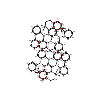 CC1(C)CCC2(C)CCC(C)(C)c3c4c5c(c1c32)B(c1ccccc1-c1ccccc1)c1cccc2c1N5c1c(cccc1C21c2cccc3c2N2c5c(cccc51)B(c1ccccc1-c1ccccc1)c1c2c(c2c5c1C(C)(C)CCC5(C)CCC2(C)C)B3c1ccccc1-c1ccccc1)B4c1ccccc1-c1ccccc1